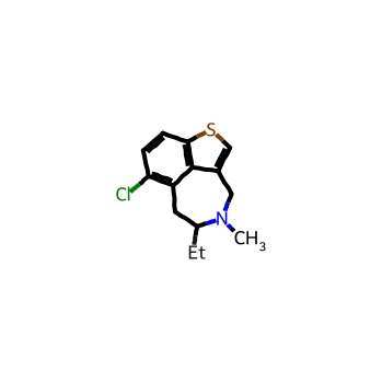 CCC1Cc2c(Cl)ccc3scc(c23)CN1C